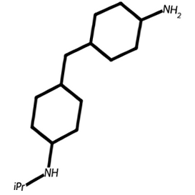 CC(C)NC1CCC(CC2CCC(N)CC2)CC1